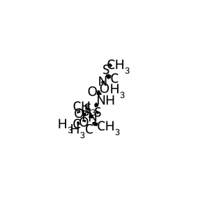 COP(=S)(OC)N(SCNC(=O)O/N=C(\C)SC)C(C)C